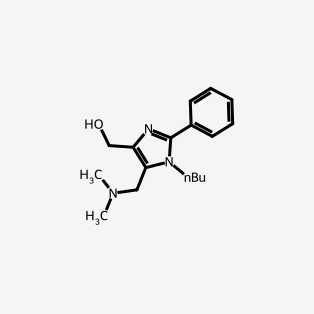 CCCCn1c(-c2ccccc2)nc(CO)c1CN(C)C